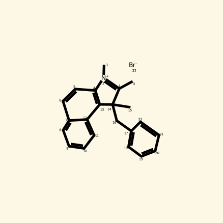 CC1=[N+](C)c2ccc3ccccc3c2C1(C)Cc1ccccc1.[Br-]